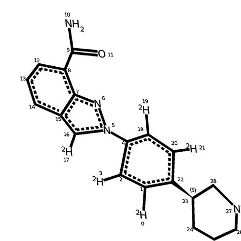 [2H]c1c([2H])c(-n2nc3c(C(N)=O)cccc3c2[2H])c([2H])c([2H])c1[C@@H]1CCCNC1